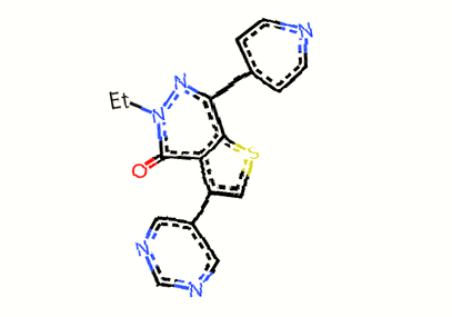 CCn1nc(-c2ccncc2)c2scc(-c3cncnc3)c2c1=O